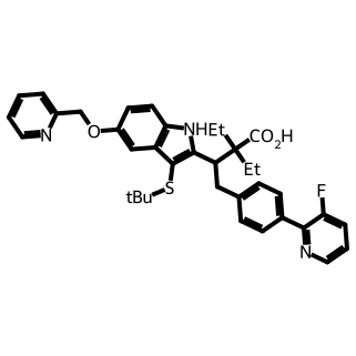 CCC(CC)(C(=O)O)C(Cc1ccc(-c2ncccc2F)cc1)c1[nH]c2ccc(OCc3ccccn3)cc2c1SC(C)(C)C